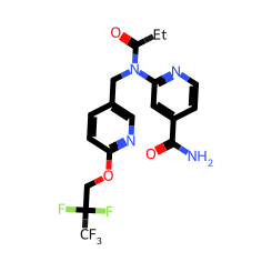 CCC(=O)N(Cc1ccc(OCC(F)(F)C(F)(F)F)nc1)c1cc(C(N)=O)ccn1